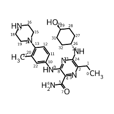 CCc1nc(C(N)=O)c(Nc2ccc(N3CCNCC3)c(C)c2)nc1N[C@H]1CC[C@H](O)CC1